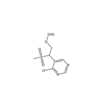 CS(=O)(=O)C(COC=O)c1cncnc1Cl